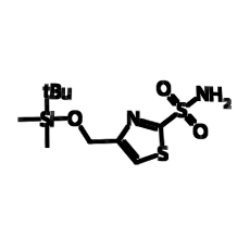 CC(C)(C)[Si](C)(C)OCc1csc(S(N)(=O)=O)n1